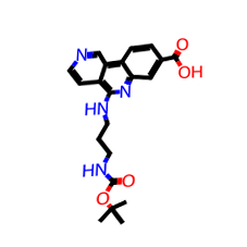 CC(C)(C)OC(=O)NCCCNc1nc2cc(C(=O)O)ccc2c2cnccc12